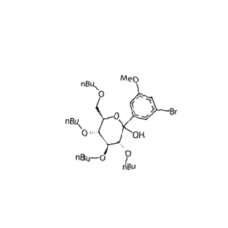 CCCCOC[C@H]1OC(O)(c2cc(Br)cc(OC)c2)[C@H](OCCCC)[C@@H](OCCCC)[C@@H]1OCCCC